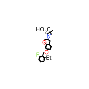 CCc1cccc(F)c1COc1ccc2c(c1)OCC(N1CC(C)(C(=O)O)C1)C2